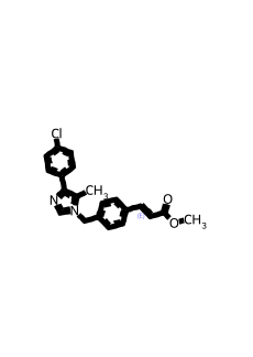 COC(=O)/C=C/c1ccc(Cn2cnc(-c3ccc(Cl)cc3)c2C)cc1